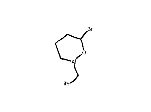 CC(C)[CH2][Al]1[CH2]CCC(Br)[O]1